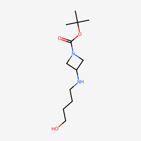 CC(C)(C)OC(=O)N1CC(NCCCCO)C1